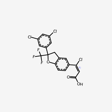 O=C(O)/C=C(/Cl)c1ccc2c(c1)CC(c1cc(Cl)cc(Cl)c1)(C(F)(F)F)O2